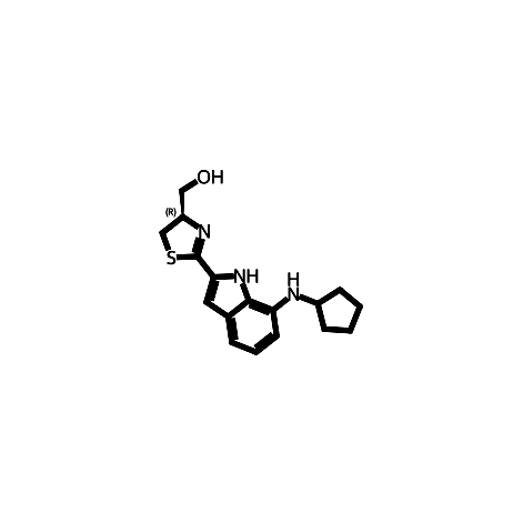 OC[C@@H]1CSC(c2cc3cccc(NC4CCCC4)c3[nH]2)=N1